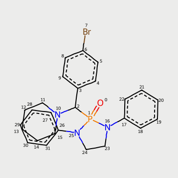 O=P1(C(c2ccc(Br)cc2)N2CCCCC2)N(c2ccccc2)CCN1c1ccccc1